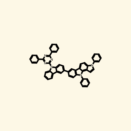 c1ccc(-c2nc(-c3ccccc3)nc(-n3c4ccccc4c4cc(-c5ccc6c(c5)c5ccc7c(ccn7-c7ccccc7)c5n6-c5ccccc5)ccc43)n2)cc1